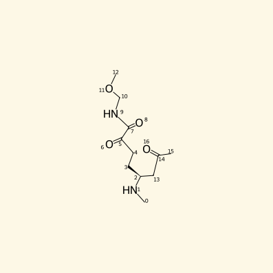 CN[C@@H](CCC(=O)C(=O)NCOC)CC(C)=O